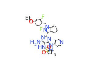 CCOc1cc(F)c(Cn2nc(-c3nc(N)c(NS(=O)(=O)C(F)(F)F)c(Nc4ccncc4)n3)c3ccccc32)c(F)c1